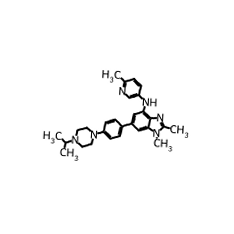 Cc1ccc(Nc2cc(-c3ccc(N4CCN(C(C)C)CC4)cc3)cc3c2nc(C)n3C)cn1